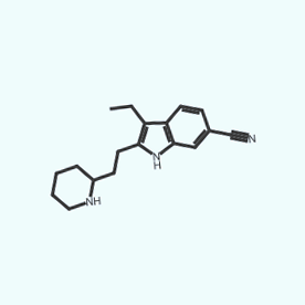 CCc1c(CCC2CCCCN2)[nH]c2cc(C#N)ccc12